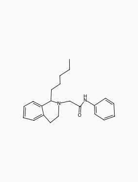 CCCCCC1c2ccccc2CCN1CC(=O)Nc1ccccc1